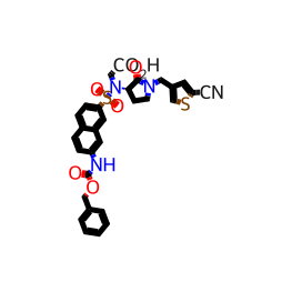 N#Cc1cc(CN2CC[C@H](N(CC(=O)O)S(=O)(=O)c3ccc4ccc(NC(=O)OCc5ccccc5)cc4c3)C2=O)cs1